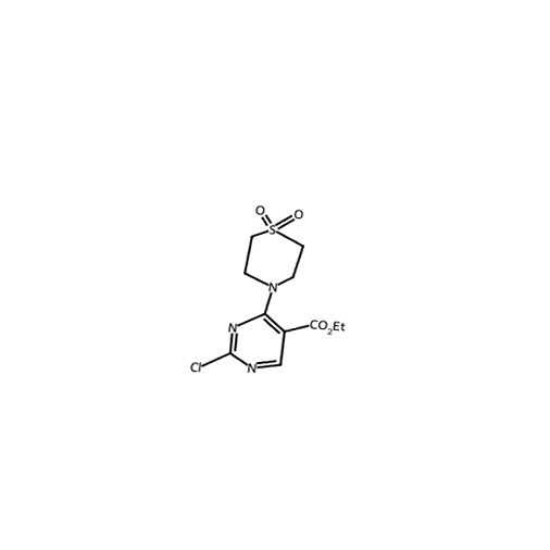 CCOC(=O)c1cnc(Cl)nc1N1CCS(=O)(=O)CC1